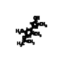 Cc1cc(-c2cc(O)n(C)n2)c(C)cc1OC(C)C